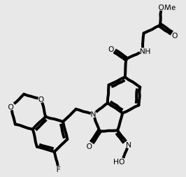 COC(=O)CNC(=O)c1ccc2c(c1)N(Cc1cc(F)cc3c1OCOC3)C(=O)/C2=N\O